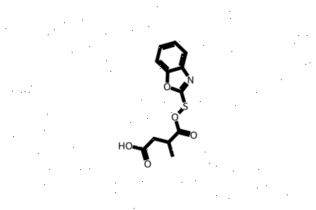 CC(CC(=O)O)C(=O)OSc1nc2ccccc2o1